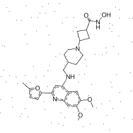 COc1cc2nc(-c3ccc(C)o3)cc(NCC3CCN(C4CC(C(=O)NO)C4)CC3)c2cc1OC